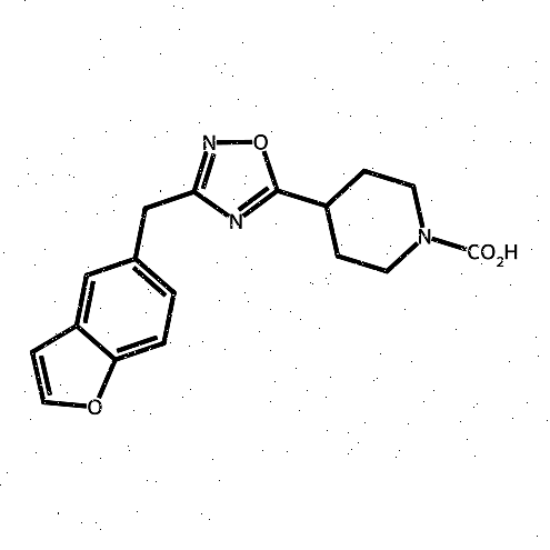 O=C(O)N1CCC(c2nc(Cc3ccc4occc4c3)no2)CC1